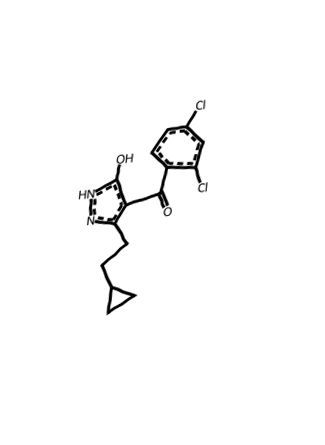 O=C(c1ccc(Cl)cc1Cl)c1c(CCC2CC2)n[nH]c1O